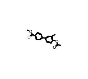 COC(=O)c1ccc(-c2ccc(OC(C)=O)c(C)c2)cc1